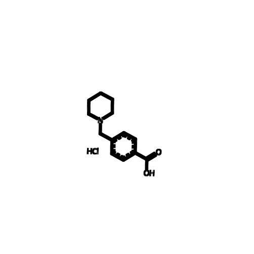 Cl.O=C(O)c1ccc(CN2CCCCC2)cc1